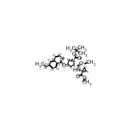 C=C[C@@H]1C[C@]1(NC(=O)[C@@H]1C[C@@H](Oc2nccc3cc(CC)ccc23)CN1C(=O)OC(C)(C)C)C(=O)OC